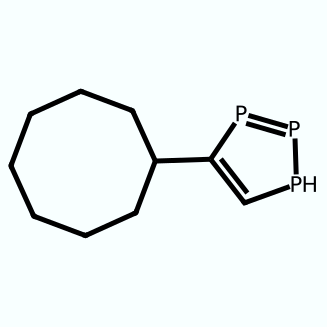 c1[pH]ppc1C1CCCCCCC1